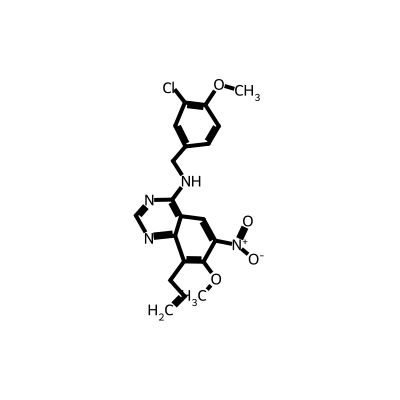 C=CCc1c(OC)c([N+](=O)[O-])cc2c(NCc3ccc(OC)c(Cl)c3)ncnc12